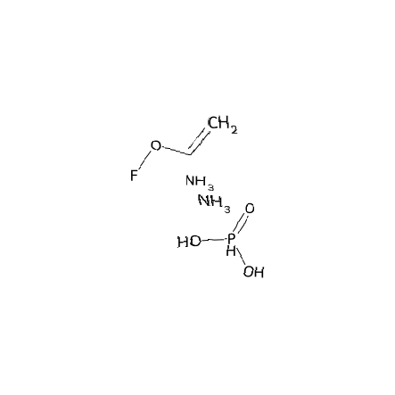 C=COF.N.N.O=[PH](O)O